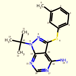 Cc1cccc(Sc2nn(C(C)(C)C)c3ncnc(N)c23)c1